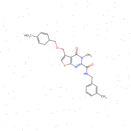 Cc1cccc(CNC(=O)c2nc3scc(COCC4C=CC(C(=O)O)=CC4)c3c(=O)n2C)c1